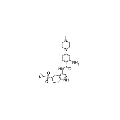 CN1CCN(c2ccc(C(=O)Nc3n[nH]c4c3CN(S(=O)(=O)C3CC3)CC4)c(N)c2)CC1